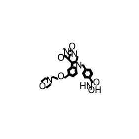 CN1C(=O)C2CN(Cc3c2c2cc(COCCN4CCOCC4)ccc2n3Cc2ccc(C(=O)NO)cc2)C1=O